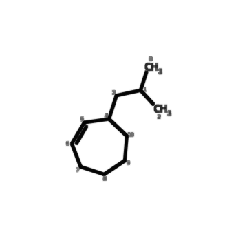 CC(C)CC1C=CCCCC1